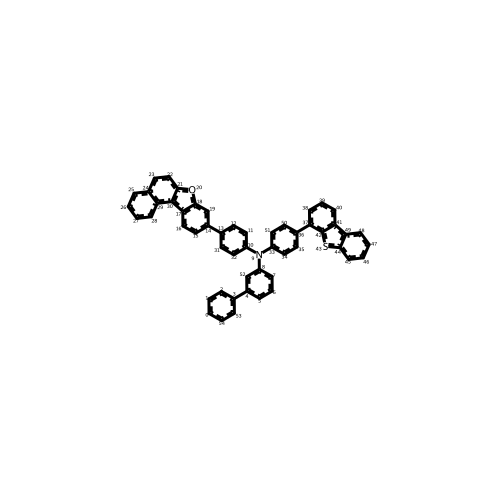 c1ccc(-c2cccc(N(c3ccc(-c4ccc5c(c4)oc4ccc6ccccc6c45)cc3)c3ccc(-c4cccc5c4sc4ccccc45)cc3)c2)cc1